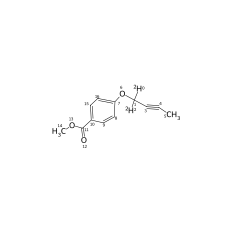 [2H]C([2H])(C#CC)Oc1ccc(C(=O)OC)cc1